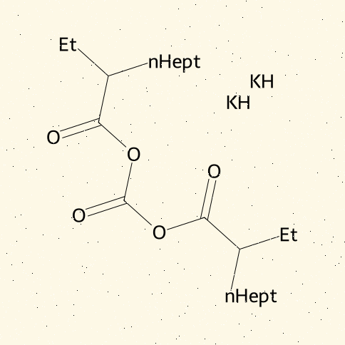 CCCCCCCC(CC)C(=O)OC(=O)OC(=O)C(CC)CCCCCCC.[KH].[KH]